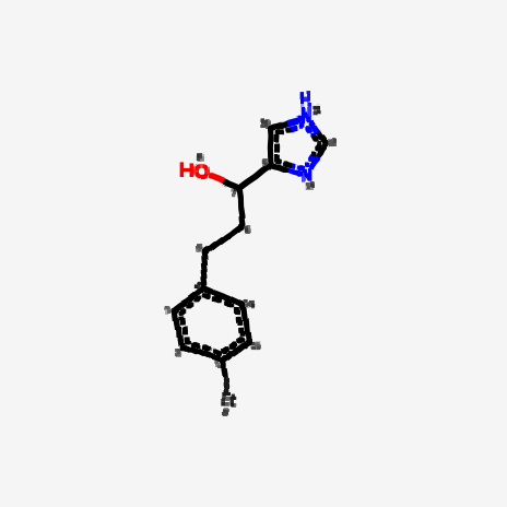 CCc1ccc(CCC(O)c2c[nH]cn2)cc1